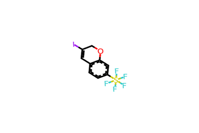 FS(F)(F)(F)(F)c1ccc2c(c1)OCC(I)=C2